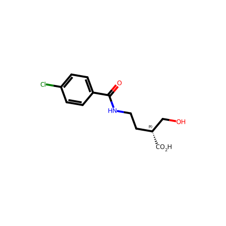 O=C(NCC[C@H](CO)C(=O)O)c1ccc(Cl)cc1